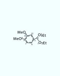 CCOC(OCC)c1ccc(OC)c(OC)c1